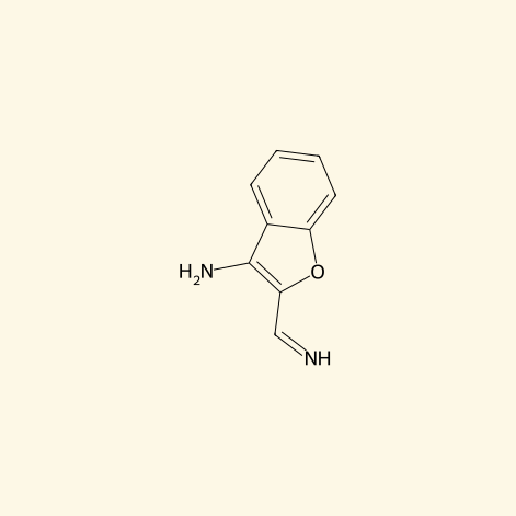 N=Cc1oc2ccccc2c1N